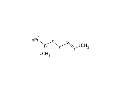 C/C=C/CCC(C)CCC